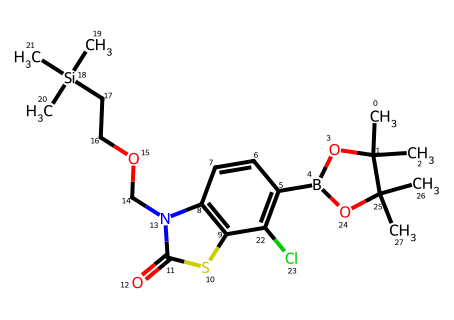 CC1(C)OB(c2ccc3c(sc(=O)n3COCC[Si](C)(C)C)c2Cl)OC1(C)C